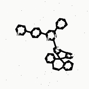 C1=Cc2ccccc2C2(c3ccccc31)c1ccccc1-c1cc(-c3nc(-c4ccccc4)cc(-c4ccc(-c5cccnc5)cc4)n3)ccc12